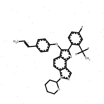 C/C=C/c1ccc(Oc2c(-c3ccc(F)cc3C(C)(F)F)sc3c2ccc2c3cnn2C2CCCCO2)cc1